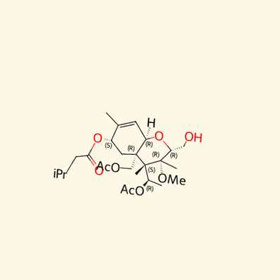 CO[C@@]1(C)[C@@H](CO)O[C@@H]2C=C(C)[C@@H](OC(=O)CC(C)C)C[C@]2(COC(C)=O)[C@@]1(C)[C@@H](C)OC(C)=O